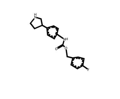 O=C(Nc1ccc(C2CCNC2)cc1)OCc1ccc(F)cc1